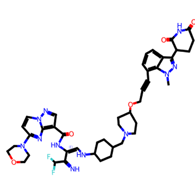 Cn1nc(C2CCC(=O)NC2=O)c2cccc(C#CCOC3CCN(CC4CCC(N/C=C(/NC(=O)c5cnn6ccc(N7CCOCC7)nc56)C(=N)C(F)F)CC4)CC3)c21